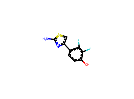 Nc1nc(-c2ccc(O)c(F)c2F)cs1